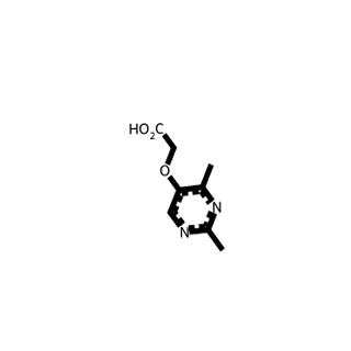 Cc1ncc(OCC(=O)O)c(C)n1